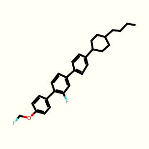 CCCCC1CCC(c2ccc(-c3ccc(-c4ccc(OCF)cc4)c(F)c3)cc2)CC1